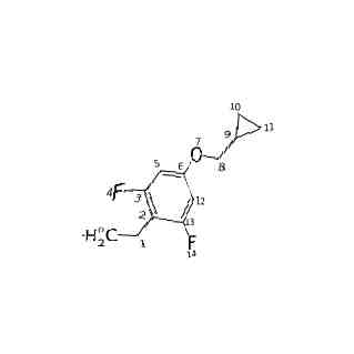 [CH2]Cc1c(F)cc(OCC2CC2)cc1F